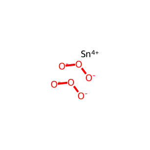 [O-]O[O-].[O-]O[O-].[Sn+4]